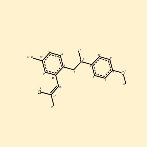 COc1ccc(N(C)Cc2ccc(F)cc2/C=C(/C)Cl)cc1